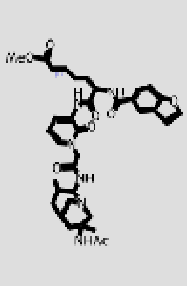 COC(=O)/C=C/CCC(NC(=O)c1ccc2occc2c1)C(=O)Nc1cccn(CC(=O)NC2C(C)CC3CN2CC(C)(NC(C)=O)C3)c1=O